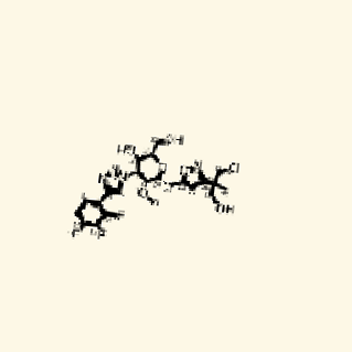 CO[C@@H]1[C@@H](n2cc(-c3ccc(F)c(F)c3F)nn2)[C@@H](O)[C@@H](CO)O[C@@H]1Cc1cc(C(C)(CO)CCl)no1